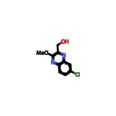 COc1nc2ccc(Cl)cc2nc1CO